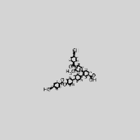 C#Cc1ccc(C(=O)Oc2ccc(-c3ccc(-c4cc(C(=O)O)ccc4N4CCN(C(=O)c5ccc(C#C)cc5)C(C)C4)cc3)cc2)cc1